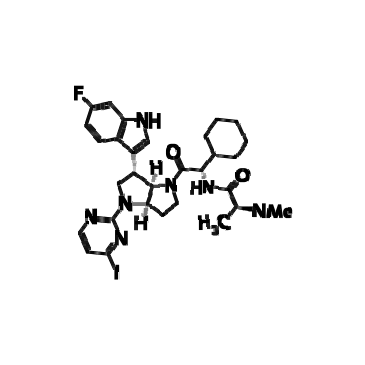 CN[C@@H](C)C(=O)N[C@H](C(=O)N1CC[C@@H]2[C@H]1[C@@H](c1c[nH]c3cc(F)ccc13)CN2c1nccc(I)n1)C1CCCCC1